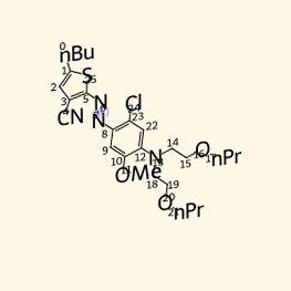 CCCCc1cc(C#N)c(/N=N/c2cc(OC)c(N(CCOCCC)CCOCCC)cc2Cl)s1